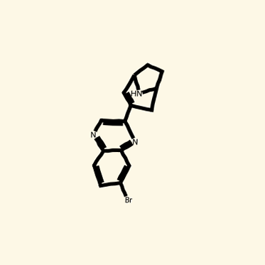 Brc1ccc2ncc(C3=CC4CCC(C3)N4)nc2c1